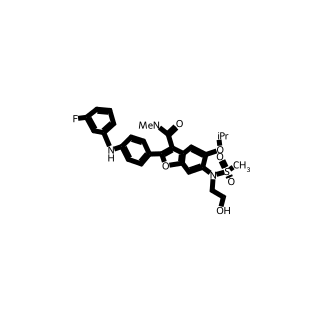 CNC(=O)c1c(-c2ccc(Nc3cccc(F)c3)cc2)oc2cc(N(CCO)S(C)(=O)=O)c(OC(C)C)cc12